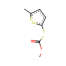 COC(=O)Sc1ccc(C)s1